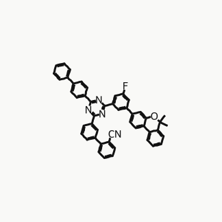 CC1(C)Oc2cc(-c3cc(F)cc(-c4nc(-c5ccc(-c6ccccc6)cc5)nc(-c5cccc(-c6ccccc6C#N)c5)n4)c3)ccc2-c2ccccc21